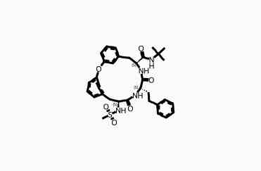 CC(C)(C)NC(=O)[C@@H]1Cc2cccc(c2)Oc2cccc(c2)C[C@H](NS(C)(=O)=O)C(=O)N[C@@H](CCc2ccccc2)C(=O)N1